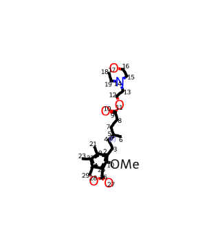 COc1c(C/C=C(\C)CCC(=O)OCCN2CCOCC2)c(C)c(C)c2c1C(=O)OC2